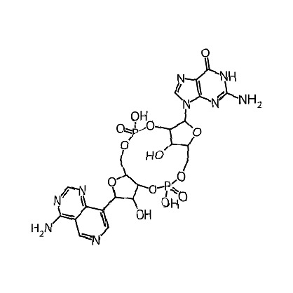 Nc1nc2c(ncn2C2OC3COP(=O)(O)OC4C(COP(=O)(O)OC2C3O)OC(c2cncc3c(N)ncnc23)C4O)c(=O)[nH]1